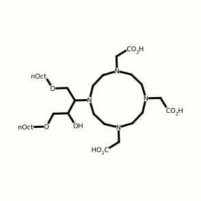 CCCCCCCCOCC(O)C(COCCCCCCCC)N1CCN(CC(=O)O)CCN(CC(=O)O)CCN(CC(=O)O)CC1